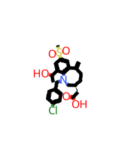 C=C1CC[C@H](CC(=O)O)CN(Cc2ccc(Cl)cc2)c2c1cc(S(C)(=O)=O)cc2C(C)O